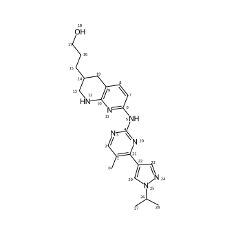 Cc1cnc(Nc2ccc3c(n2)NCC(CCCO)C3)nc1-c1cnn(C(C)C)c1